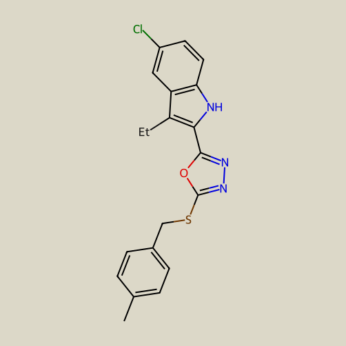 CCc1c(-c2nnc(SCc3ccc(C)cc3)o2)[nH]c2ccc(Cl)cc12